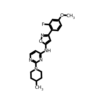 COc1ccc(-c2cc(Nc3ccnc(N4CCC(C)CC4)n3)on2)c(F)c1